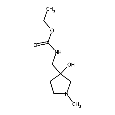 CCOC(=O)NCC1(O)CCN(C)C1